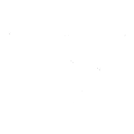 Cc1c(C(C)(C)C)s/c(=N\C(=O)c2cc(Br)ccc2F)n1CC1CC1